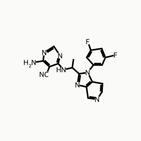 CC(Nc1ncnc(N)c1C#N)c1nc2cnccc2n1-c1cc(F)cc(F)c1